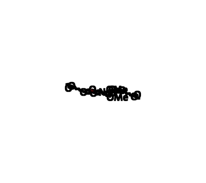 C=CC(=O)OCCCCCCOc1ccc(C(=O)Oc2ccc(/N=C/c3cc(OC)c(OC(=O)c4ccc(OCCCCCCOC(=O)C=C)cc4)c(OC)c3)cc2)cc1